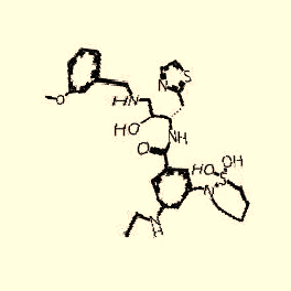 CCNc1cc(C(=O)N[C@@H](Cc2nccs2)[C@@H](O)CNCc2cccc(OC)c2)cc(N2CCCCS2(O)O)c1